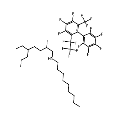 CCCCCCCCCNCC(C)CCC(CC)CCC.Fc1c(F)c(F)c(-c2c(C(F)(F)F)c(F)c(F)c(F)c2C(F)(F)C(F)(F)F)c(F)c1F